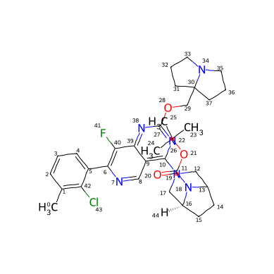 Cc1cccc(-c2ncc3c(N4CC5CC[C@@H](C4)N5C(=O)OC(C)(C)C)nc(OCC45CCCN4CCC5)nc3c2F)c1Cl